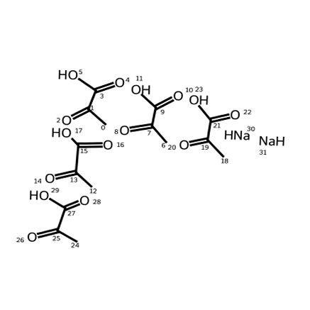 CC(=O)C(=O)O.CC(=O)C(=O)O.CC(=O)C(=O)O.CC(=O)C(=O)O.CC(=O)C(=O)O.[NaH].[NaH]